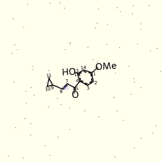 COc1ccc(C(=O)/C=C/C2CC2)c(O)c1